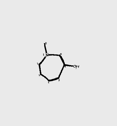 CN1CCCCC(O)C1